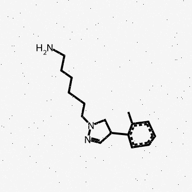 Cc1ccccc1C1C=NN(CCCCCCN)C1